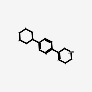 C1=C(c2ccc(C3CCCCC3)cc2)CNCC1